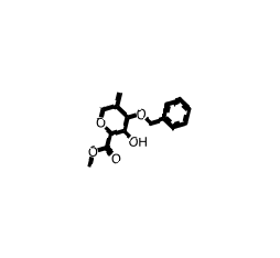 COC(=O)C1OCC(C)C(OCc2ccccc2)C1O